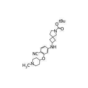 CN1CCC(Oc2cc(NC3CC4(CCN(C(=O)OC(C)(C)C)C4)C3)ccc2C#N)CC1